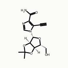 C#Cc1c(C(N)=O)ncn1[C@@H]1O[C@H](CO)[C@H]2OC(C)(C)O[C@H]21